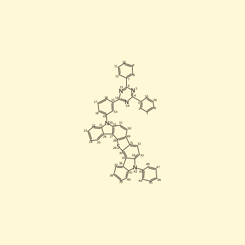 c1ccc(-c2nc(-c3ccccc3)nc(-c3cccc(-n4c5ccccc5c5c6sc7c(ccc8c7c7ccccc7n8-c7ccccc7)c6ccc54)c3)n2)cc1